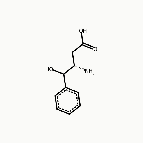 N[C@@H](CC(=O)O)C(O)c1ccccc1